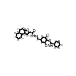 COc1cc(/C=N/NC(=O)c2cc3c(ccc4ccccc43)o2)cc(Cl)c1OCc1ccccc1